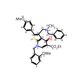 CCOC(=O)c1cn(Cc2ccccc2OC)c2sc(-c3ccc(OC)cc3)c(CN(C)Cc3ccccc3)c2c1=O